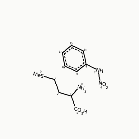 CSCCC(N)C(=O)O.O=[N+]([O-])Nc1ccccc1